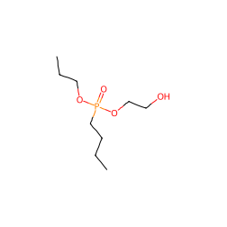 CCCCP(=O)(OCCC)OCCO